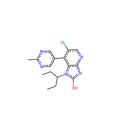 CCC(CC)n1c(O)nc2ncc(Cl)c(-c3cnc(C)nc3)c21